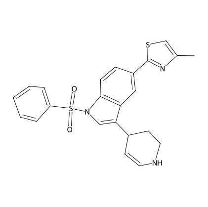 Cc1csc(-c2ccc3c(c2)c(C2C=CNCC2)cn3S(=O)(=O)c2ccccc2)n1